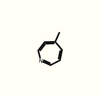 CC1=C=CN=CC=C1